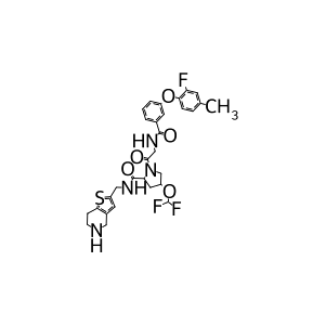 Cc1ccc(Oc2cccc(C(=O)NCC(=O)N3C[C@H](OC(F)F)CC3C(=O)NCc3cc4c(s3)CCNC4)c2)c(F)c1